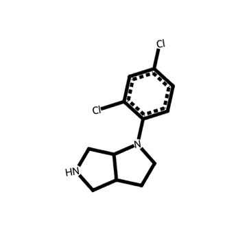 Clc1ccc(N2CCC3CNCC32)c(Cl)c1